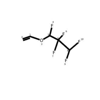 C=COC(F)C(F)(F)C(F)F